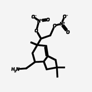 CC1(C)CC2=CC(C)(C(CO[N+](=O)[O-])O[N+](=O)[O-])CC(CN)C2C1